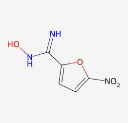 N=C(NO)c1ccc([N+](=O)[O-])o1